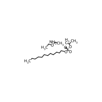 CCCCCCCCCCCCOS(=O)(=O)OC(C)C.CCOCC.N